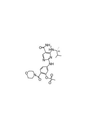 CC(C)[C@@H](C)Nc1nc(Nc2ccc(C(=O)N3CCOCC3)c(OS(C)(=O)=O)c2)ncc1C(N)=O